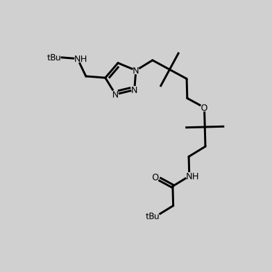 CC(C)(C)CC(=O)NCCC(C)(C)OCCC(C)(C)Cn1cc(CNC(C)(C)C)nn1